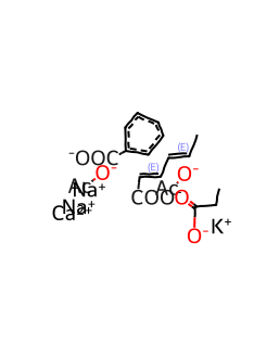 C/C=C/C=C/C(=O)[O-].CC(=O)[O-].CC(=O)[O-].CCC(=O)[O-].O=C([O-])c1ccccc1.[Ca+2].[K+].[Na+].[Na+]